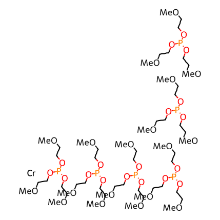 COCCOP(OCCOC)OCCOC.COCCOP(OCCOC)OCCOC.COCCOP(OCCOC)OCCOC.COCCOP(OCCOC)OCCOC.COCCOP(OCCOC)OCCOC.COCCOP(OCCOC)OCCOC.[Cr]